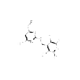 Oc1cc(CF)nc(SCc2c(Cl)c(Cl)nc(Cl)c2Cl)n1